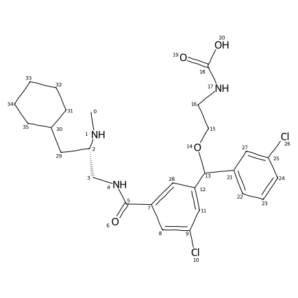 CN[C@H](CNC(=O)c1cc(Cl)cc(C(OCCNC(=O)O)c2cccc(Cl)c2)c1)CC1CCCCC1